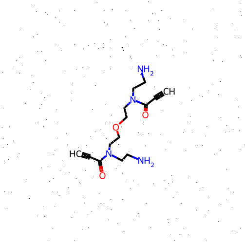 C#CC(=O)N(CCN)CCOCCN(CCN)C(=O)C#C